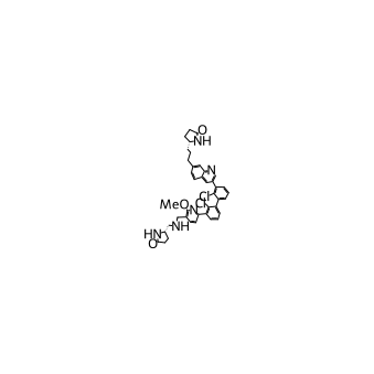 COc1nc(-c2cccc(-c3cccc(-c4cnc5cc(CCC[C@@H]6CCC(=O)N6)ccc5c4)c3Cl)c2Cl)ccc1CNC[C@@H]1CCC(=O)N1